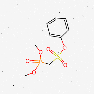 COP(=O)(CS(=O)(=O)Oc1ccccc1)OC